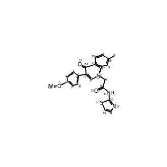 COc1ccc(-c2cn(CC(=O)Nc3nccs3)c3cc(C)ccc3c2=O)cc1